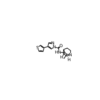 C[C@H]1[C@H](NC(=O)n2cc(-c3ccsc3)cn2)C2CCN1CC2